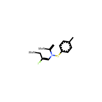 C=C(NC)N(/C=C(/F)CNC)Sc1ccc(C)cc1